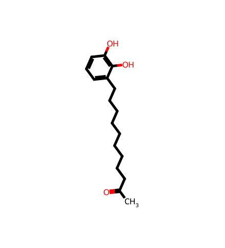 CC(=O)CCCCCCCCCc1cccc(O)c1O